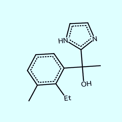 CCc1c(C)cccc1C(C)(O)c1ncc[nH]1